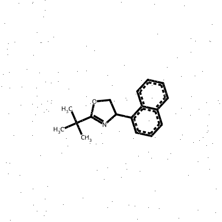 CC(C)(C)C1=NC(c2cccc3ccccc23)CO1